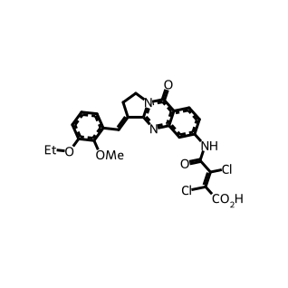 CCOc1cccc(C=C2CCn3c2nc2cc(NC(=O)C(Cl)=C(Cl)C(=O)O)ccc2c3=O)c1OC